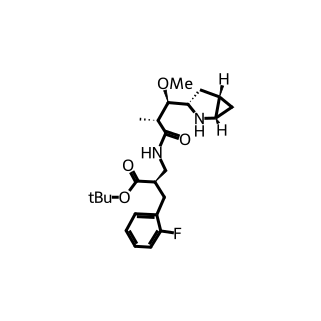 CO[C@@H]([C@@H]1C[C@@H]2C[C@@H]2N1)[C@@H](C)C(=O)NC[C@@H](Cc1ccccc1F)C(=O)OC(C)(C)C